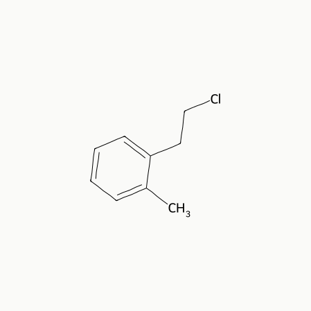 Cc1ccccc1CCCl